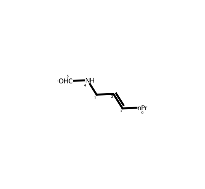 CCCC=CCN[C]=O